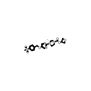 C[C@@H]1CN(C(=O)OC2COC2)CCN1c1ncc(OCc2ccc(S(C)(=O)=O)cc2)cn1